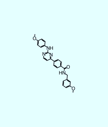 COc1ccc(Nc2nccc(-c3ccc(C(=O)NCc4cccc(OC)c4)cc3)n2)cc1